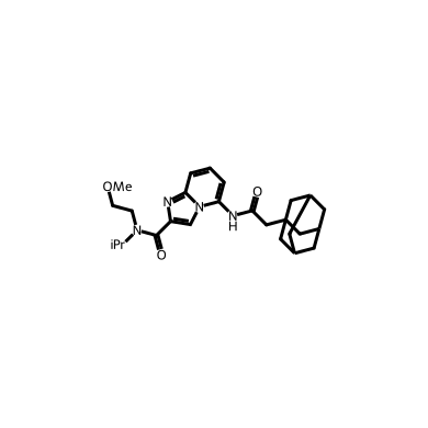 COCCN(C(=O)c1cn2c(NC(=O)CC34CC5CC(CC(C5)C3)C4)cccc2n1)C(C)C